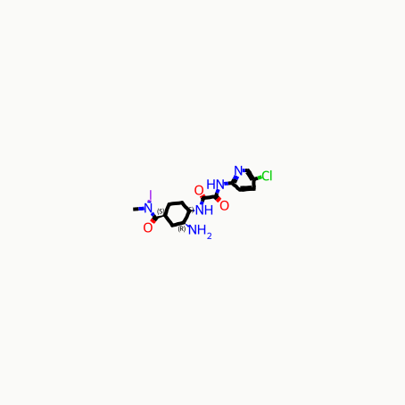 CN(I)C(=O)[C@H]1CC[C@H](NC(=O)C(=O)Nc2ccc(Cl)cn2)[C@H](N)C1